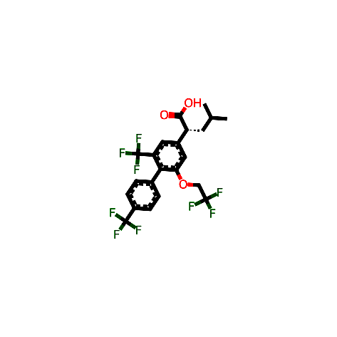 CC(C)C[C@@H](C(=O)O)c1cc(OCC(F)(F)F)c(-c2ccc(C(F)(F)F)cc2)c(C(F)(F)F)c1